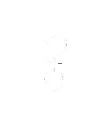 O=P(Br)(C1CCCCCCC1)C1CCCCCCC1